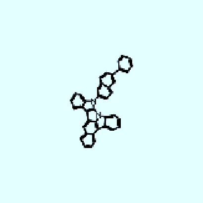 c1ccc(-c2ccc3cc(-n4c5ccccc5c5c6cc7ccccc7c7c8ccccc8n(c67)c54)ccc3c2)cc1